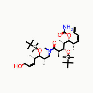 C=C/C=C\[C@H](C)[C@H](OC(N)=O)[C@@H](C)[C@H](O[Si](C)(C)C(C)(C)C)[C@@H](C)C(=O)N(C)C[C@H](C)[C@H](O[Si](C)(C)C(C)(C)C)[C@@H](C)/C=C\CO